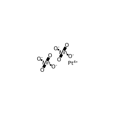 [O]=[Mn](=[O])([O-])[O-].[O]=[Mn](=[O])([O-])[O-].[Pt+4]